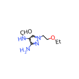 CCOCCn1cc(NC=O)c(N)n1